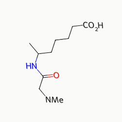 CNCC(=O)NC(C)CCCCC(=O)O